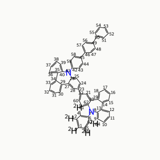 [2H]c1c([2H])c([2H])c(N2c3ccccc3-c3ccccc3-c3cc(-c4ccc5c(c4)-c4ccccc4-c4ccccc4N5c4ccc(-c5ccc(-c6ccccc6)cc5)cc4)ccc32)c([2H])c1[2H]